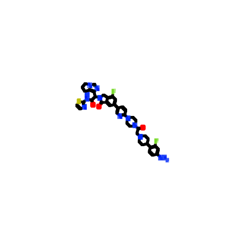 Nc1ccc(C2CCN(CC(=O)N3CCN(c4ccc(-c5cc(F)c6c(c5)C(=O)N(C(C(=O)Nc5nccs5)c5ncn7c5CCC7)C6)cn4)CC3)CC2)c(F)c1